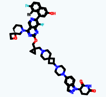 CCc1c(F)ccc2cc(O)cc(-c3ncc4c(N5CCC[C@]6(CCO6)C5)nc(OCC5(CN6CCC7(CC6)CC(N6CCN(c8ccc9c(cnn9C9CCC(=O)NC9=O)c8)CC6)C7)CC5)nc4c3F)c12